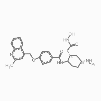 Cc1cc(COc2ccc(C(=O)NC3CC[C@@H](NC(C)C)C[C@H]3CC(=O)NO)cc2)c2ccccc2n1